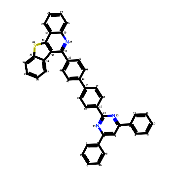 c1ccc(-c2cc(-c3ccccc3)nc(-c3ccc(-c4ccc(-c5nc6ccccc6c6sc7ccccc7c56)cc4)cc3)n2)cc1